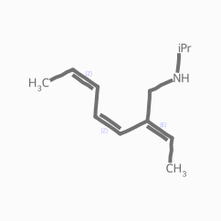 C\C=C/C=C\C(=C/C)CNC(C)C